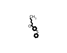 CCCCCC(=O)c1ccc(Sc2ccccc2)cc1